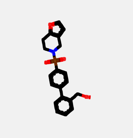 O=S(=O)(c1ccc(-c2ccccc2CO)cc1)N1CCc2occc2C1